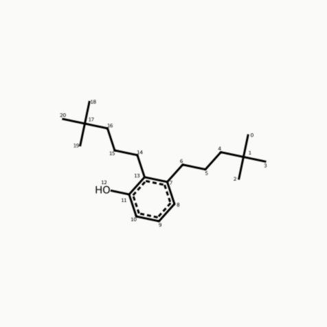 CC(C)(C)CCCc1cccc(O)c1CCCC(C)(C)C